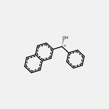 O[C@H](c1ccccc1)c1ccc2ccccc2c1